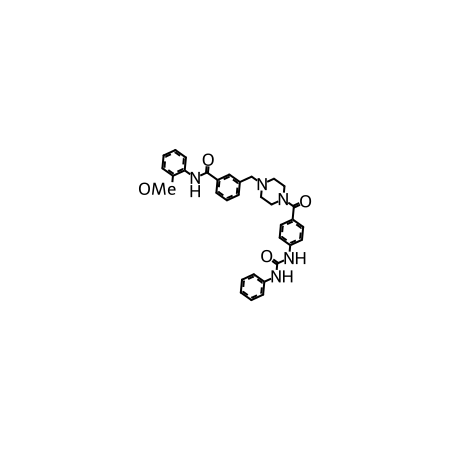 COc1ccccc1NC(=O)c1cccc(CN2CCN(C(=O)c3ccc(NC(=O)Nc4ccccc4)cc3)CC2)c1